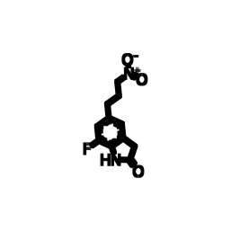 O=C1Cc2cc(CCC[N+](=O)[O-])cc(F)c2N1